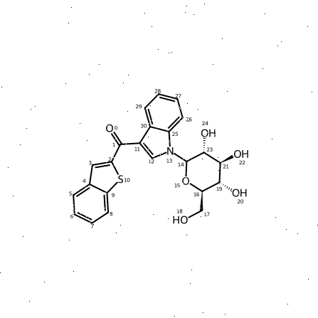 O=C(c1cc2ccccc2s1)c1cn(C2O[C@H](CO)[C@@H](O)[C@H](O)[C@H]2O)c2ccccc12